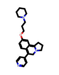 c1cc(C2=c3ccc(OCCCN4CCCCC4)cc3=C3CCCN3C2)ccn1